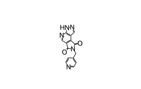 O=C1c2cnc3[nH]ncc3c2C(=O)N1Cc1ccncc1